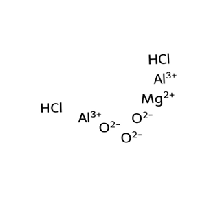 Cl.Cl.[Al+3].[Al+3].[Mg+2].[O-2].[O-2].[O-2]